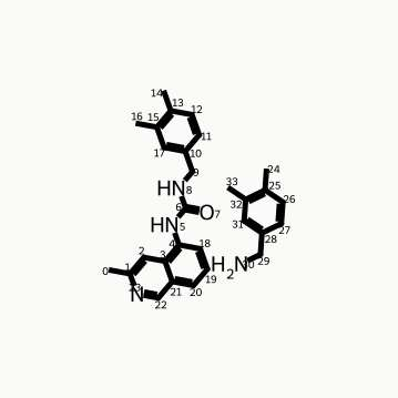 Cc1cc2c(NC(=O)NCc3ccc(C)c(C)c3)cccc2cn1.Cc1ccc(CN)cc1C